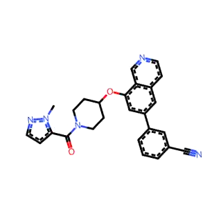 Cn1nccc1C(=O)N1CCC(Oc2cc(-c3cccc(C#N)c3)cc3ccncc23)CC1